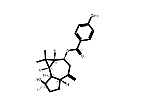 C=C1C[C@H](OC(=O)c2ccc(OC)cc2)[C@@H]2[C@H]([C@H]3[C@H]1CC[C@@]3(C)O)C2(C)C